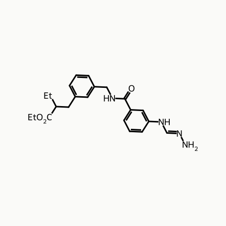 CCOC(=O)C(CC)Cc1cccc(CNC(=O)c2cccc(NC=NN)c2)c1